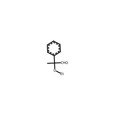 CCOC(C)(C=O)c1cc[c]cc1